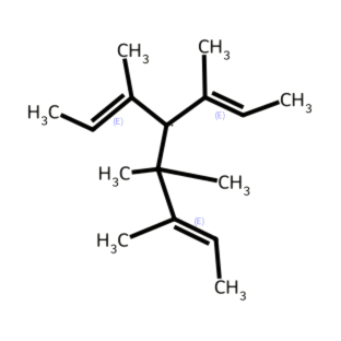 C/C=C(\C)[C](/C(C)=C/C)C(C)(C)/C(C)=C/C